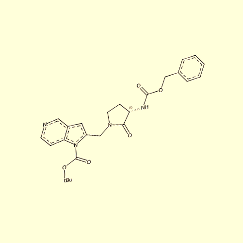 CC(C)(C)OC(=O)n1c(CN2CC[C@H](NC(=O)OCc3ccccc3)C2=O)cc2cnccc21